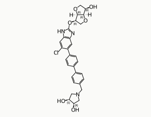 O[C@@H]1CO[C@H]2[C@@H]1OC[C@H]2Oc1nc2cc(-c3ccc(-c4ccc(CN5C[C@@H](O)[C@@H](O)C5)cc4)cc3)c(Cl)cc2[nH]1